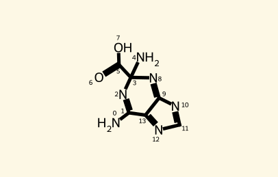 NC1=NC(N)(C(=O)O)N=C2N=CN=C12